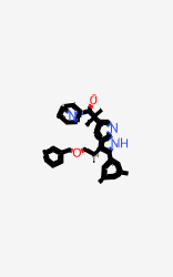 Cc1cc(C)cc(-c2[nH]c3ncc(C(C)(C)C(=O)N4CC5CCC4CC5)cc3c2[C@H](C)COCc2ccccc2)c1